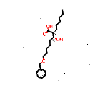 CCCCCC[C@H](C(=O)O)[C@@H](O)CCCCCOCc1ccccc1